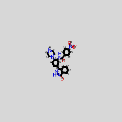 CN1CCN(c2ccc(-c3n[nH]c(=O)c4ccccc34)cc2NC(=O)c2ccc([N+](=O)[O-])cc2)CC1